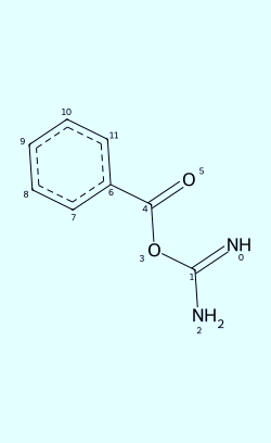 N=C(N)OC(=O)c1ccccc1